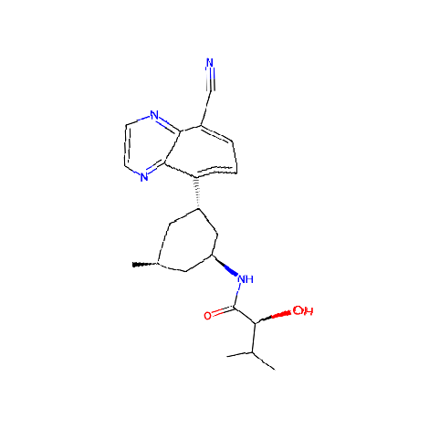 CC(C)[C@H](O)C(=O)N[C@H]1C[C@@H](C)C[C@H](c2ccc(C#N)c3nccnc23)C1